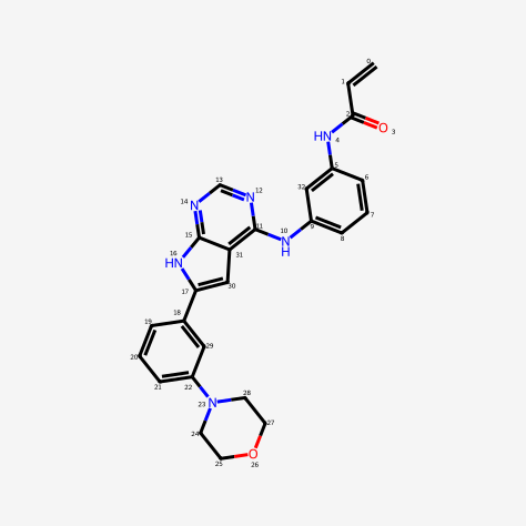 C=CC(=O)Nc1cccc(Nc2ncnc3[nH]c(-c4cccc(N5CCOCC5)c4)cc23)c1